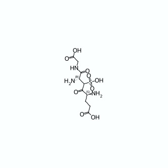 N[C@H](C(=O)NCC(=O)O)C(C(=O)[C@@H](N)CCC(=O)O)S(=O)(=O)O